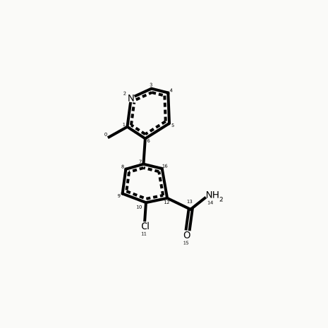 Cc1ncccc1-c1ccc(Cl)c(C(N)=O)c1